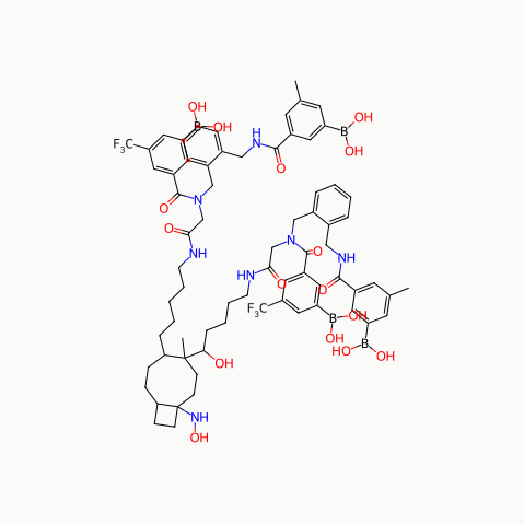 Cc1cc(B(O)O)cc(C(=O)NCc2ccccc2CN(CC(=O)NCCCCCC2CCC3CCC3(NO)CCC2(C)C(O)CCCCNC(=O)CN(Cc2ccccc2CNC(=O)c2cc(C)cc(B(O)O)c2)C(=O)c2cc(B(O)O)cc(C(F)(F)F)c2)C(=O)c2cc(B(O)O)cc(C(F)(F)F)c2)c1